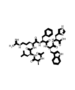 CC(=O)N[C@@H](C)C(=O)N[C@@H](CC(C)C)C(=O)N[C@@H](CCCNC(=N)N)C(=O)N[C@@H](Cc1ccccc1)C(=O)N[C@@H](Cc1c[nH]c2ccccc12)C(=O)N[C@@H](Cc1c[nH]cn1)C(=O)O